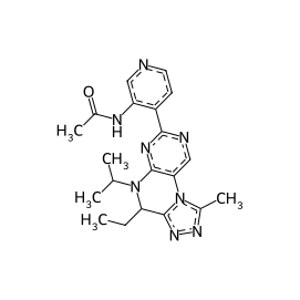 CCC1c2nnc(C)n2-c2cnc(-c3ccncc3NC(C)=O)nc2N1C(C)C